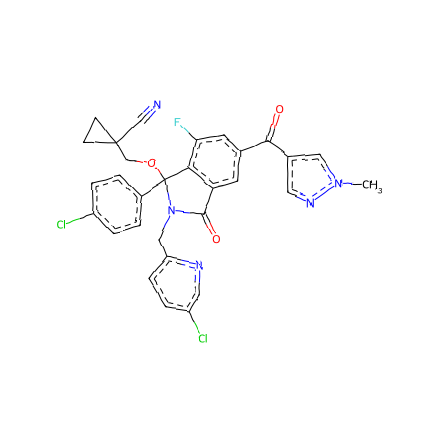 Cn1cc(C(=O)c2cc(F)c3c(c2)C(=O)N(Cc2ccc(Cl)cn2)C3(OCC2(C#N)CC2)c2ccc(Cl)cc2)cn1